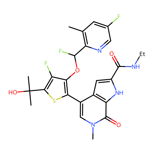 CCNC(=O)c1cc2c(-c3sc(C(C)(C)O)c(F)c3OC(F)c3ncc(F)cc3C)cn(C)c(=O)c2[nH]1